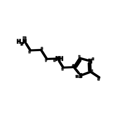 Cc1ncc(CNCCCN)s1